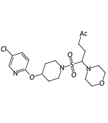 CC(=O)CCC(N1CCOCC1)S(=O)(=O)N1CCC(Oc2ccc(Cl)cn2)CC1